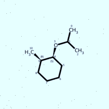 CC(C)O[C@H]1CCCC[C@H]1C